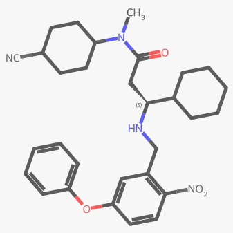 CN(C(=O)C[C@H](NCc1cc(Oc2ccccc2)ccc1[N+](=O)[O-])C1CCCCC1)C1CCC(C#N)CC1